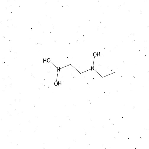 CCN(O)CCN(O)O